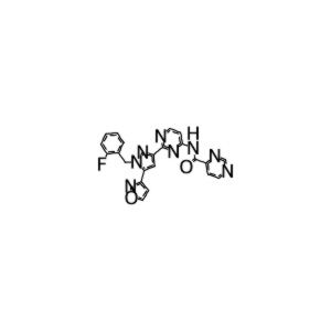 O=C(Nc1ccnc(-c2cc(-c3ccon3)n(Cc3ccccc3F)n2)n1)c1ccncn1